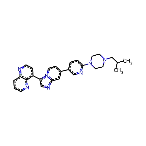 CC(C)CN1CCN(c2ccc(-c3ccn4c(-c5ccnc6cccnc56)cnc4c3)cn2)CC1